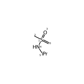 C=S(C)(=O)NC(C)C